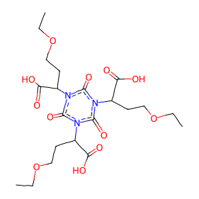 CCOCCC(C(=O)O)n1c(=O)n(C(CCOCC)C(=O)O)c(=O)n(C(CCOCC)C(=O)O)c1=O